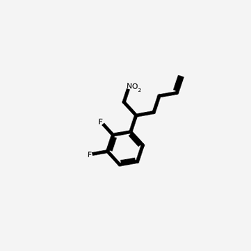 C=CCCC(C[N+](=O)[O-])c1cccc(F)c1F